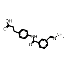 NN=Cc1cccc(C(=O)Nc2ccc(CCC(=O)O)cc2)c1